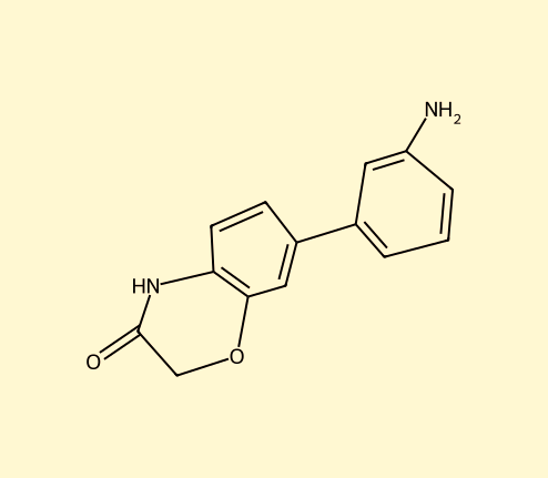 Nc1cccc(-c2ccc3c(c2)OCC(=O)N3)c1